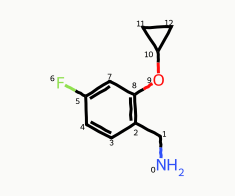 NCc1ccc(F)cc1OC1CC1